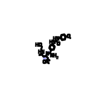 C=C(/C=C(C[S+](C)[O-])\N=C(/N)c1ccc(NC(=O)Nc2ccc(OC)cc2)cc1)NCCO